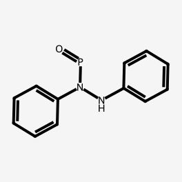 O=PN(Nc1ccccc1)c1ccccc1